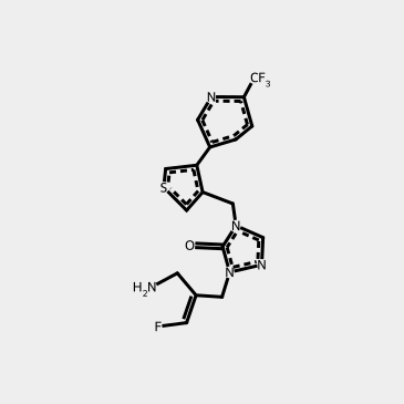 NC/C(=C\F)Cn1ncn(Cc2cscc2-c2ccc(C(F)(F)F)nc2)c1=O